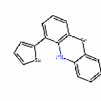 c1c[se]c(-c2cccc3c2Nc2ccccc2[Se]3)c1